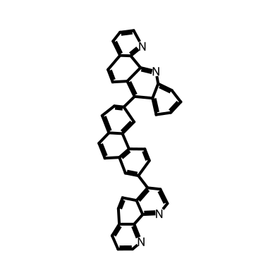 c1cnc2c(c1)ccc1c(-c3ccc4c(ccc5ccc(-c6c7ccccc7nc7c6ccc6cccnc67)cc54)c3)ccnc12